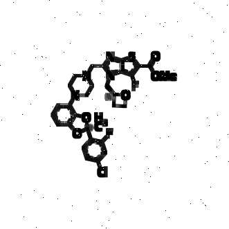 COC(=O)c1sc2nc(CN3CCN(c4cccc5c4O[C@@](C)(c4ccc(Cl)cc4F)O5)CC3)n(C[C@@H]3CCO3)c2c1F